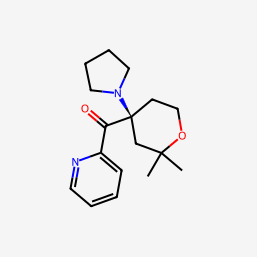 CC1(C)C[C@@](C(=O)c2ccccn2)(N2CCCC2)CCO1